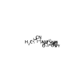 C=C/C=C(/C#N)CCCNC(=O)C1=CC=C(NS(=O)(=O)C(C)C)CC1